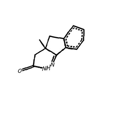 CC12CC(=O)NN=C1c1ccccc1C2